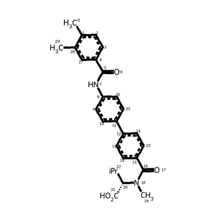 Cc1ccc(C(=O)Nc2ccc(-c3ccc(C(=O)N(C)[C@H](C(=O)O)C(C)C)cc3)cc2)cc1C